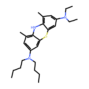 CCCCN(CCCC)c1cc(C)c2c(c1)Sc1cc(N(CC)CC)cc(C)c1N2